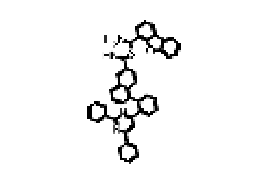 N=C(SC(N)c1cccc2c1oc1ccccc12)c1ccc2c(-c3ccccc3-c3cc(C4=CC=CCC4)nc(-c4ccccc4)n3)cccc2c1